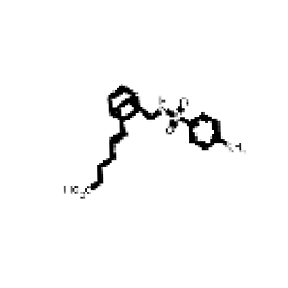 Cc1ccc(S(=O)(=O)NCC2C3C=CC(CC3)C2C=CCCCC(=O)O)cc1